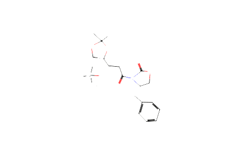 CC1(C)OC[C@H]([C@@H](O[Si](C)(C)C(C)(C)C)[C@H](Cl)C(=O)N2C(=O)OC[C@@H]2Cc2ccccc2)O1